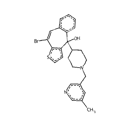 Cc1cncc(CN2CCC(C3(O)c4ccccc4C=C(Br)c4sccc43)CC2)c1